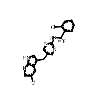 F[C@H](Nc1ncc(Cc2c[nH]c3ncc(Cl)cc23)cn1)c1ccccc1Cl